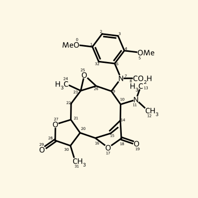 COc1ccc(OC)c(N(C(=O)O)C2C(N(C)C)C3=CC(OC3=O)C3C(CC4(C)OC24)OC(=O)C3C)c1